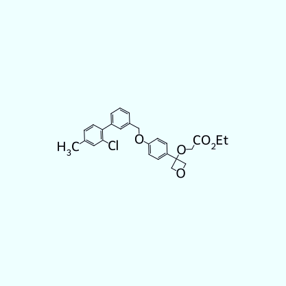 CCOC(=O)COC1(c2ccc(OCc3cccc(-c4ccc(C)cc4Cl)c3)cc2)COC1